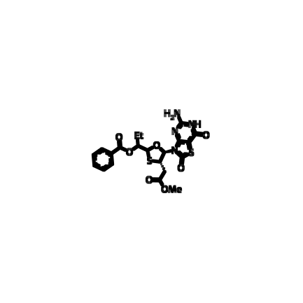 CCC(OC(=O)c1ccccc1)C1O[C@@H](n2c(=O)sc3c(=O)[nH]c(N)nc32)[C@H](CC(=O)OC)S1